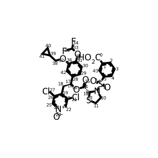 O=C(O)c1cccc(S(=O)(=O)N2CCS[C@@H]2C(=O)O[C@@H](Cc2c(Cl)c[n+]([O-])cc2Cl)c2ccc(OC(F)F)c(OCC3CC3)c2)c1